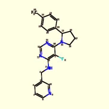 Fc1c(NCc2cccnc2)ncnc1N1CCCC1c1ccc(C(F)(F)F)cc1